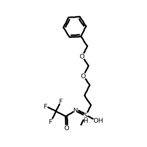 C[SH](O)(CCCOCOCc1ccccc1)=NC(=O)C(F)(F)F